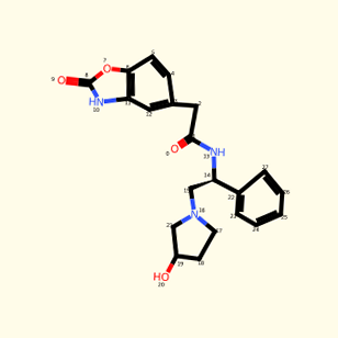 O=C(Cc1ccc2oc(=O)[nH]c2c1)N[C@H](CN1CCC(O)C1)c1ccccc1